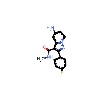 CNC(=O)c1c(-c2ccc(F)cc2)nn2ccc(N)cc12